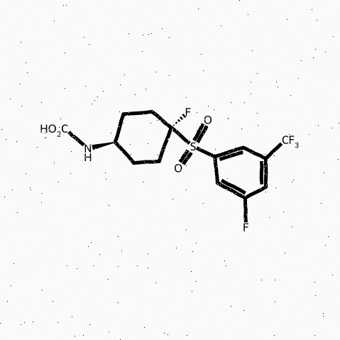 O=C(O)N[C@H]1CC[C@@](F)(S(=O)(=O)c2cc(F)cc(C(F)(F)F)c2)CC1